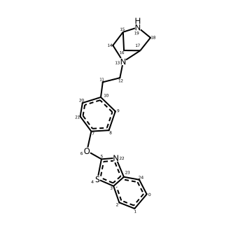 c1ccc2sc(Oc3ccc(CCN4CC5CC4CN5)cc3)nc2c1